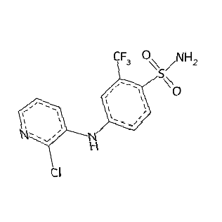 NS(=O)(=O)c1ccc(Nc2cccnc2Cl)cc1C(F)(F)F